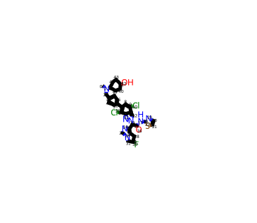 CN(Cc1ccc(-c2cc(Cl)c3cn([C@@H](C(=O)Nc4nccs4)c4ncn5c4C[C@@H](F)C5)nc3c2Cl)cc1)C1CCC(O)CC1